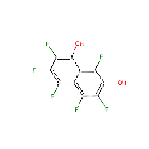 Oc1c(F)c(F)c2c(F)c(F)c(F)c(O)c2c1F